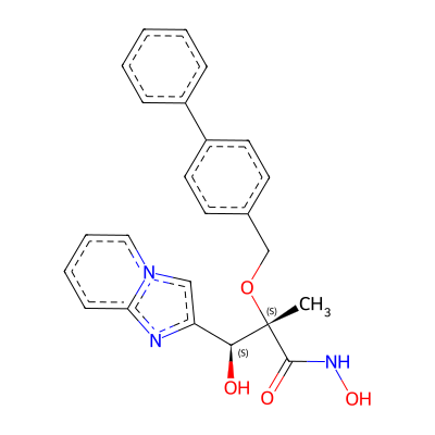 C[C@@](OCc1ccc(-c2ccccc2)cc1)(C(=O)NO)[C@@H](O)c1cn2ccccc2n1